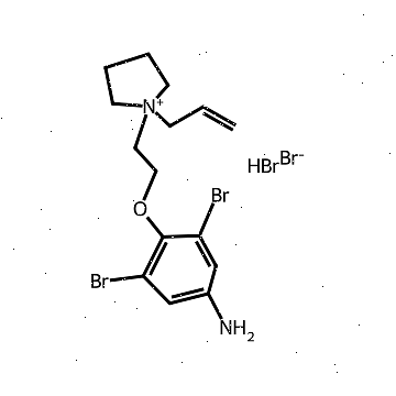 Br.C=CC[N+]1(CCOc2c(Br)cc(N)cc2Br)CCCC1.[Br-]